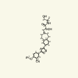 CC(C)Oc1ccc(-c2nc(-c3ccc4c(c3)CCN(C[C@@H](O)C(=O)N[C@H](C)CO)CC4)no2)cc1C#N